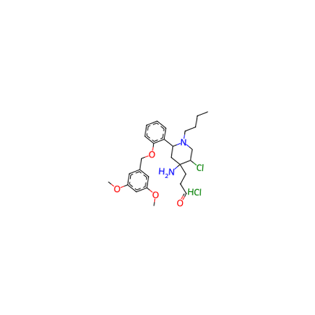 CCCCN1CC(Cl)C(N)(CCC=O)CC1c1ccccc1OCc1cc(OC)cc(OC)c1.Cl